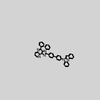 c1ccc(-c2nc3cccnc3c3nc(-c4ccc(-c5ccc(-n6c7ccccc7n7c8ccccc8cc67)cc5)cc4)n(-c4ccccc4)c23)cc1